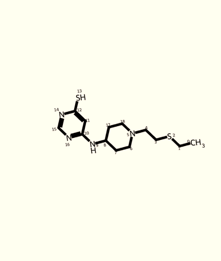 CCSCCN1CCC(Nc2cc(S)ncn2)CC1